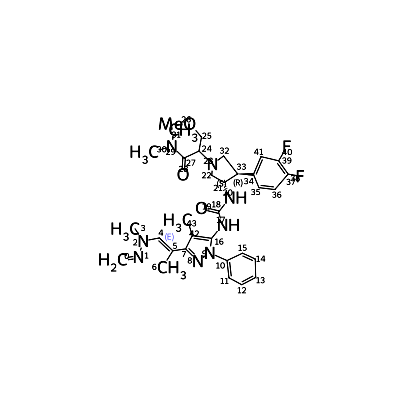 C=NN(C)/C=C(\C)c1nn(-c2ccccc2)c(NC(=O)N[C@@H]2CN(C(COC)C(=O)N(C)C)C[C@H]2c2ccc(F)c(F)c2)c1C